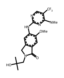 CNc1nc(Nc2cc3c(cc2OC)C(=O)N(CC(C)(C)O)C3)ncc1C(F)(F)F